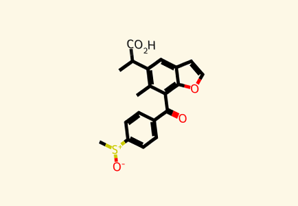 Cc1c(C(C)C(=O)O)cc2ccoc2c1C(=O)c1ccc([S+](C)[O-])cc1